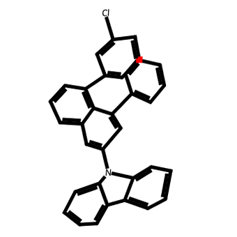 Clc1cccc(-c2cccc3cc(-n4c5ccccc5c5ccccc54)cc(-c4ccccc4)c23)c1